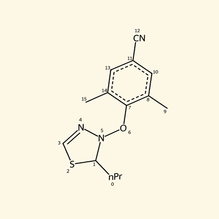 CCCC1SC=NN1Oc1c(C)cc(C#N)cc1C